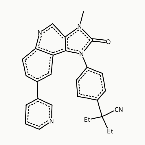 CCC(C#N)(CC)c1ccc(-n2c(=O)n(C)c3cnc4ccc(-c5cccnc5)cc4c32)cc1